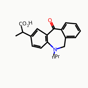 CCCN1Cc2ccccc2C(=O)c2cc(C(C)C(=O)O)ccc21